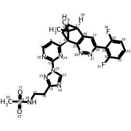 CC1(C)[C@H]2CC[C@@]1(c1ccnc(-n3cnc(CCNS(C)(=O)=O)n3)n1)c1nnc(-c3c(F)cccc3F)cc12